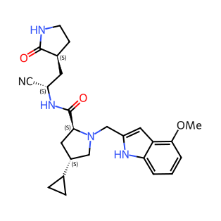 COc1cccc2[nH]c(CN3C[C@H](C4CC4)C[C@H]3C(=O)N[C@H](C#N)C[C@@H]3CCNC3=O)cc12